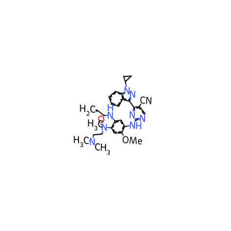 C=CC(=O)Nc1cc(Nc2ncc(C#N)c(-c3nn(C4CC4)c4ccccc34)n2)c(OC)cc1N(C)CCN(C)C